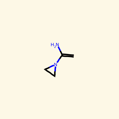 C=C(N)N1CC1